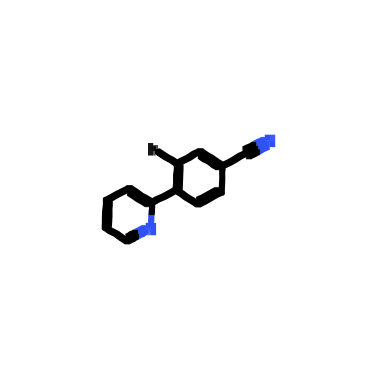 N#Cc1ccc(-c2ccccn2)[c]([Ir])c1